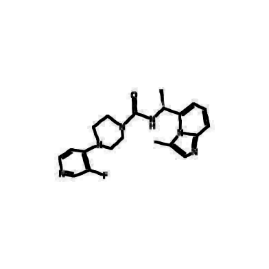 Cc1cnc2cccc([C@H](C)NC(=O)N3CCN(c4ccncc4F)CC3)n12